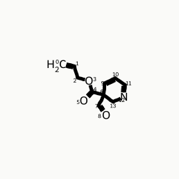 C=CCOC(=O)C1(C=O)C=CC=NC1